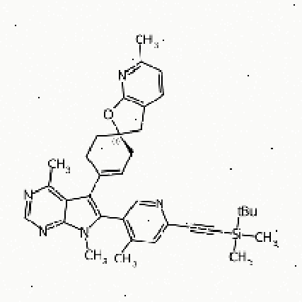 Cc1ccc2c(n1)O[C@]1(CC=C(c3c(-c4cnc(C#C[Si](C)(C)C(C)(C)C)cc4C)n(C)c4ncnc(C)c34)CC1)C2